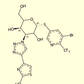 OCC1O[C@H](Sc2cnc(C(F)(F)F)c(Br)c2)C(O)[C@@H](n2cc(-c3csc(O)n3)nn2)[C@H]1O